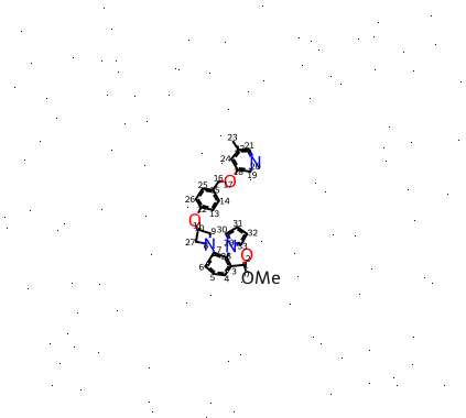 COC(=O)c1cccc(N2CC(Oc3ccc(COc4cncc(C)c4)cc3)C2)c1-n1cccc1